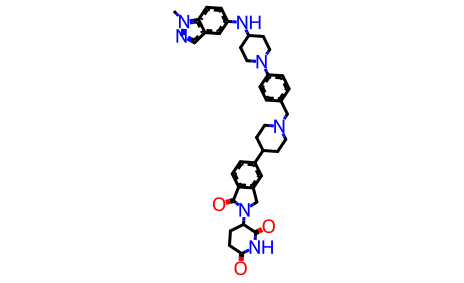 Cn1ncc2cc(NC3CCN(c4ccc(CN5CCC(c6ccc7c(c6)CN(C6CCC(=O)NC6=O)C7=O)CC5)cc4)CC3)ccc21